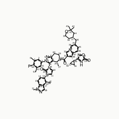 Cc1cc(-n2nc3c(c2-n2ccn(-c4ccc5c(cnn5C)c4F)c2=O)[C@H](C)N(C(=O)c2cn4cc(C[C@H]5CCOC(C)(C)C5)ccc4c2[C@]2(c4noc(=O)[nH]4)C[C@@H]2C)CC3)cc(C)c1F